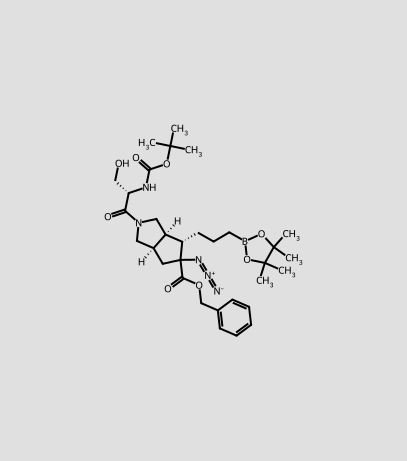 CC(C)(C)OC(=O)N[C@@H](CO)C(=O)N1C[C@@H]2CC(N=[N+]=[N-])(C(=O)OCc3ccccc3)[C@@H](CCCB3OC(C)(C)C(C)(C)O3)[C@@H]2C1